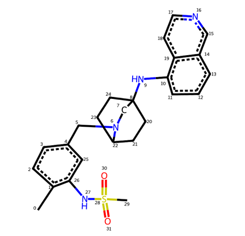 Cc1ccc(CN2CC3(Nc4cccc5cnccc45)CCC2CC3)cc1NS(C)(=O)=O